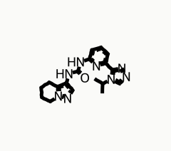 CC(C)n1cnnc1-c1cccc(NC(=O)Nc2cnn3c2CCCC3)n1